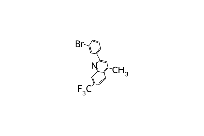 Cc1cc(-c2cccc(Br)c2)nc2cc(C(F)(F)F)ccc12